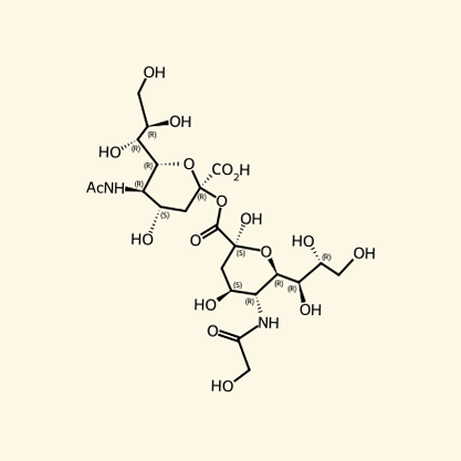 CC(=O)N[C@H]1[C@H]([C@H](O)[C@H](O)CO)O[C@](OC(=O)[C@]2(O)C[C@H](O)[C@@H](NC(=O)CO)[C@H]([C@H](O)[C@H](O)CO)O2)(C(=O)O)C[C@@H]1O